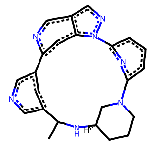 CC1N[C@@H]2CCCN(C2)c2cccc(n2)-n2ncc3cnc(cc32)-c2cncc1c2